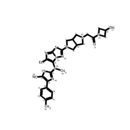 CCc1nc2sc(N3CC4CN(CC(=O)N5CC(O)C5)CC4C3)nn2c1N(C)c1nc(-c2ccc(C)cc2)c(C#N)s1